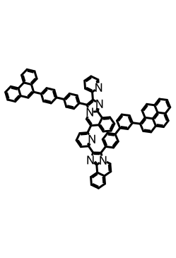 c1ccc(-c2nc3c4ccccc4c(-c4cccc(-c5nc6c7ccccc7ccn6c5-c5ccc(-c6cccc(-c7ccc8ccc9cccc%10ccc7c8c9%10)c6)cc5)n4)cn3c2-c2ccc(-c3ccc(-c4cc5ccccc5c5ccccc45)cc3)cc2)nc1